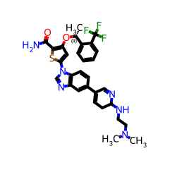 C[C@@H](Oc1cc(-n2cnc3cc(C4=CCC(NCCN(C)C)N=C4)ccc32)sc1C(N)=O)c1ccccc1C(F)(F)F